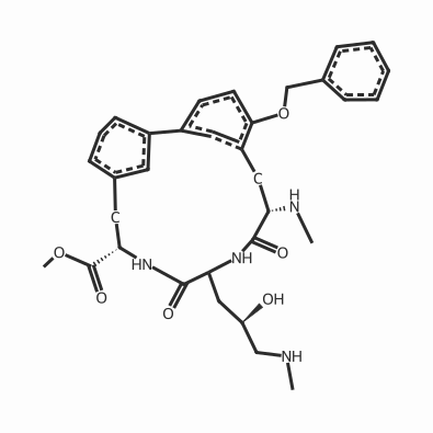 CNC[C@H](O)CC1NC(=O)[C@@H](NC)Cc2cc(ccc2OCc2ccccc2)-c2cccc(c2)C[C@@H](C(=O)OC)NC1=O